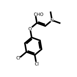 CN(C)C=C(C=O)Oc1ccc(Cl)c(Cl)c1